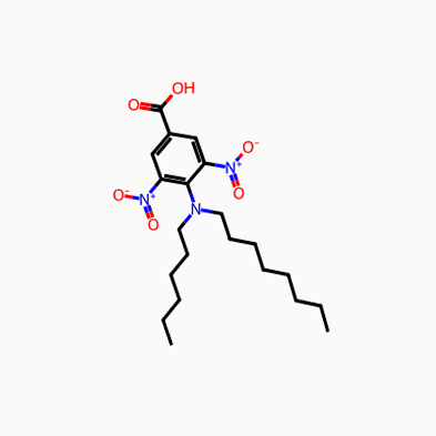 CCCCCCCCN(CCCCCC)c1c([N+](=O)[O-])cc(C(=O)O)cc1[N+](=O)[O-]